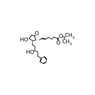 CC(C)OC(=O)CCC/C=C/C[C@H]1C(=O)C[C@@H](O)[C@@H]1CC[C@@H](O)CCc1ccccc1